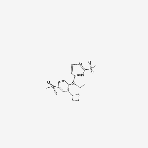 CCN(c1ccnc(S(C)(=O)=O)n1)c1ccc(S(C)(=O)=O)cc1C1CCC1